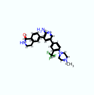 CN1CCN(c2ccc(-c3cnc(N)c(-c4ccc5c(c4)CCNC5=O)c3)cc2C(F)(F)F)CC1